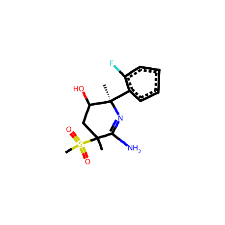 CC1(S(C)(=O)=O)CC(O)[C@@](C)(c2ccccc2F)N=C1N